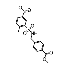 COC(=O)c1ccc(CNS(=O)(=O)c2cc([N+](=O)[O-])ccc2C)cc1